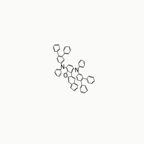 c1ccc(-c2ccc(N(c3ccccc3)c3ccc(N(c4ccccc4)c4ccc(-c5ccccc5)c(-c5ccccc5)c4)c4c3oc3cc5ccccc5cc34)cc2-c2ccccc2)cc1